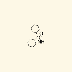 C1CCC(CC2CCCCC2)CC1.N=C=O